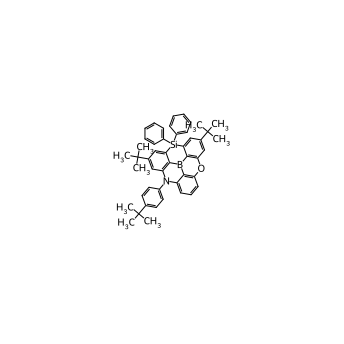 CC(C)(C)c1ccc(N2c3cccc4c3B3c5c(cc(C(C)(C)C)cc5[Si](c5ccccc5)(c5ccccc5)c5cc(C(C)(C)C)cc2c53)O4)cc1